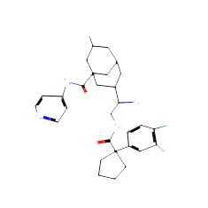 CC1CC2CC(C(N)CNC(=O)C3(c4ccc(F)c(F)c4)CCCC3)CC(C(=O)Nc3ccncc3)(C1)C2